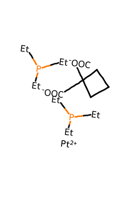 CCP(CC)CC.CCP(CC)CC.O=C([O-])C1(C(=O)[O-])CCC1.[Pt+2]